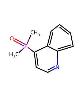 CP(C)(=O)c1ccnc2ccccc12